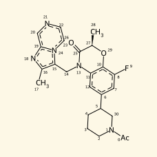 CC(=O)N1CCCC(c2cc(F)c3c(c2)N(Cc2c(C)nc4cnccn24)C(=O)[C@@H](C)O3)C1